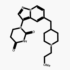 COCCN1CCC(Cc2ccn3ncc(N4CCC(=O)NC4=O)c3c2)CC1